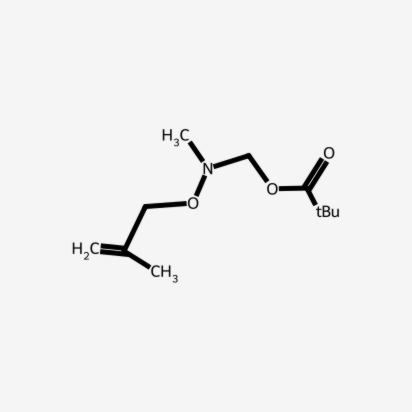 [CH2]C(C)(C)C(=O)OCN(C)OCC(=C)C